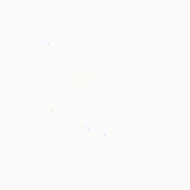 Cl.Cn1cc(-c2cc(F)ccc2OC2CCNCC2)cn1